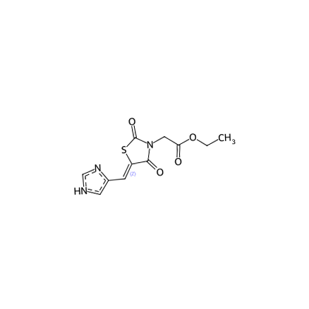 CCOC(=O)CN1C(=O)S/C(=C\c2c[nH]cn2)C1=O